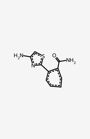 NC(=O)c1ccccc1-c1nc(N)cs1